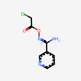 N/C(=N\OC(=O)CCl)c1cccnc1